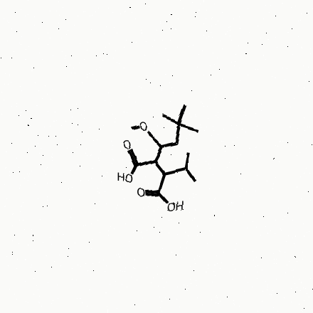 COC(CC(C)(C)C)C(C(=O)O)C(C(=O)O)C(C)C